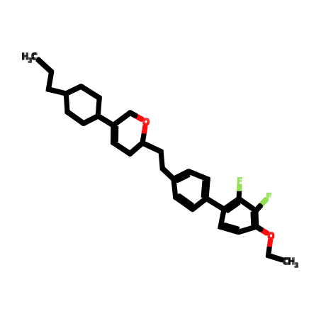 CCCC1CCC(C2=CCC(CCc3ccc(-c4ccc(OCC)c(F)c4F)cc3)OC2)CC1